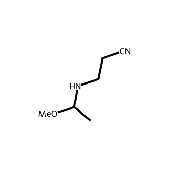 COC(C)NCCC#N